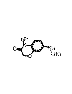 CCCN1C(=O)COc2cc(NC=O)ccc21